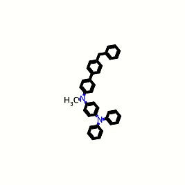 CN(c1ccc(-c2ccc(Cc3ccccc3)cc2)cc1)c1ccc(N(c2ccccc2)c2ccccc2)cc1